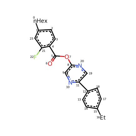 CCCCCCc1ccc(C(=O)Oc2cnc(-c3ccc(CC)cc3)cn2)c(F)c1